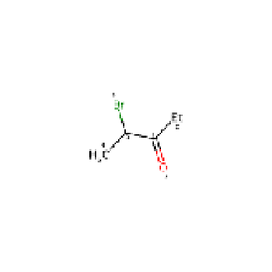 CCC(=O)C(C)Br